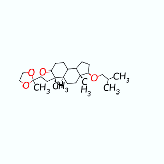 CC(C)CO[C@@H]1CCC2C3CCC(=O)[C@@](C)(CCC4(C)OCCO4)[C@@H]3CC[C@]21C